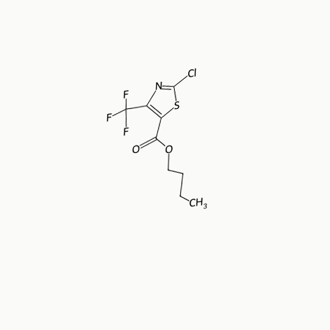 CCCCOC(=O)c1sc(Cl)nc1C(F)(F)F